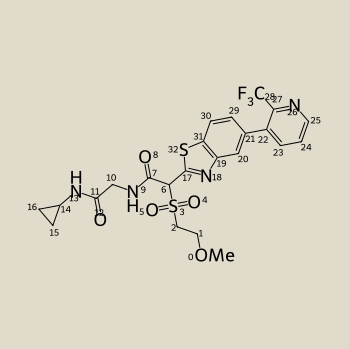 COCCS(=O)(=O)C(C(=O)NCC(=O)NC1CC1)c1nc2cc(-c3cccnc3C(F)(F)F)ccc2s1